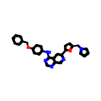 c1ccc(COc2ccc(Nc3ncnc4cnc(-c5ccc(Cn6cccc6)o5)cc34)cc2)cc1